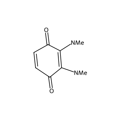 CNC1=C(NC)C(=O)C=CC1=O